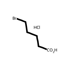 Cl.O=C(O)CCCCBr